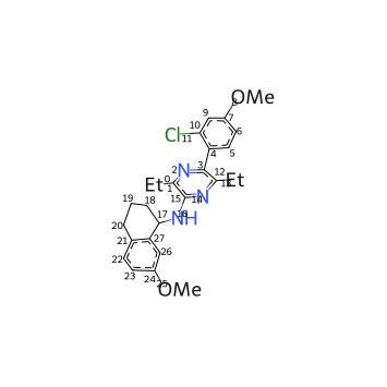 CCc1nc(-c2ccc(OC)cc2Cl)c(CC)nc1NC1CCCc2ccc(OC)cc21